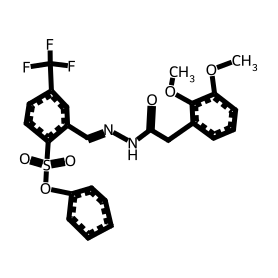 COc1cccc(CC(=O)NN=Cc2cc(C(F)(F)F)ccc2S(=O)(=O)Oc2ccccc2)c1OC